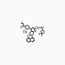 C=CC(=O)N1CCN(c2nc(OCCN(C)C3CCC(F)(F)C3)nc3c2CCN(c2cccc4cccc(Cl)c24)C3)C[C@@H]1CC#N